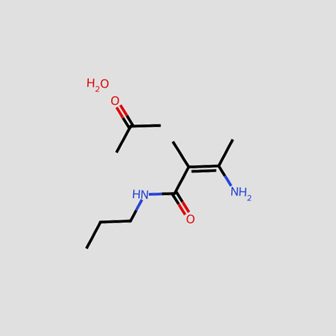 CC(C)=O.CCCNC(=O)/C(C)=C(/C)N.O